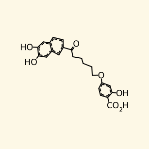 O=C(CCCCCOc1ccc(C(=O)O)c(O)c1)c1ccc2cc(O)c(O)cc2c1